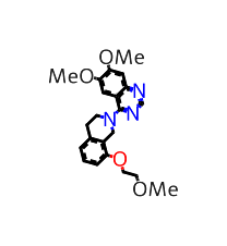 COCCOc1cccc2c1CN(c1ncnc3cc(OC)c(OC)cc13)CC2